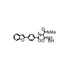 CNC(=O)C(C(=O)NO)N(C)C(=O)c1ccc(-c2cc3ccccc3o2)cc1